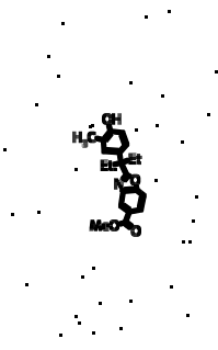 CCC(CC)(c1ccc(O)c(C)c1)c1nc2cc(C(=O)OC)ccc2o1